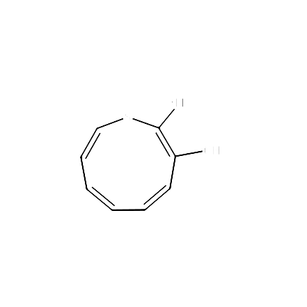 [2H]c1sccccccc1C